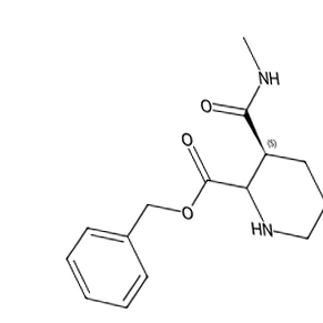 CNC(=O)[C@H]1CCCNC1C(=O)OCc1ccccc1